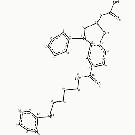 O=C(O)CC1CN(c2ccccc2)c2cc(C(=O)NCCCCNc3ccccn3)ccc2O1